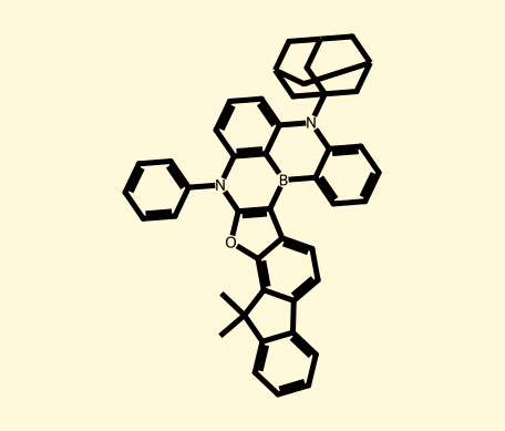 CC1(C)c2ccccc2-c2ccc3c4c(oc3c21)N(c1ccccc1)c1cccc2c1B4c1ccccc1N2C12CC3CC(CC(C3)C1)C2